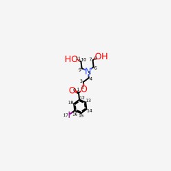 O=C(OCCN(CCO)CCO)c1cccc(I)c1